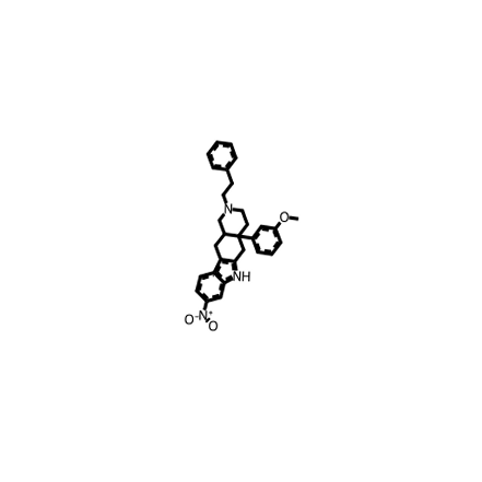 COc1cccc(C23CCN(CCc4ccccc4)CC2Cc2c([nH]c4cc([N+](=O)[O-])ccc24)C3)c1